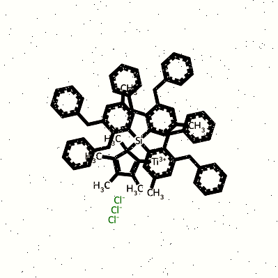 CC1=C(C)C(C)([Si](c2cc(C)cc(Cc3ccccc3)c2Cc2ccccc2)(c2cc(C)cc(Cc3ccccc3)c2Cc2ccccc2)c2cc(C)cc(Cc3ccccc3)c2Cc2ccccc2)[C]([Ti+3])=C1C.[Cl-].[Cl-].[Cl-]